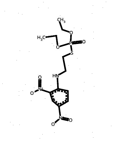 CCOP(=O)(OCC)SCCNc1ccc([N+](=O)[O-])cc1[N+](=O)[O-]